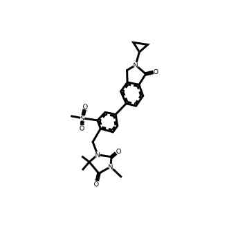 CN1C(=O)N(Cc2ccc(-c3ccc4c(c3)CN(C3CC3)C4=O)cc2S(C)(=O)=O)C(C)(C)C1=O